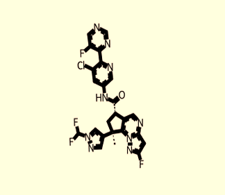 C[C@]1(c2cnn(C(F)F)c2)C[C@H](C(=O)Nc2cnc(-c3ncncc3F)c(Cl)c2)c2cnc3cc(F)nn3c21